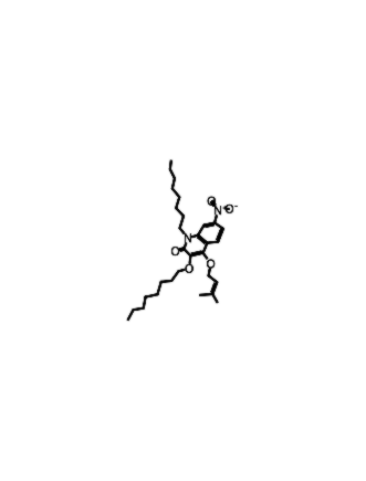 CCCCCCCCOc1c(OCC=C(C)C)c2ccc([N+](=O)[O-])cc2n(CCCCCCCC)c1=O